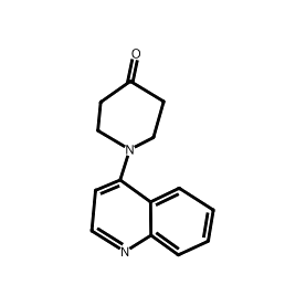 O=C1CCN(c2ccnc3ccccc23)CC1